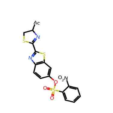 CC(=O)C1CSC(c2nc3ccc(OS(=O)(=O)c4ccccc4[N+](=O)[O-])cc3s2)=N1